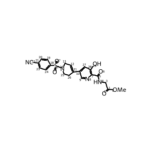 COC(=O)CNC(=O)c1ncc(C2=CCN(S(=O)(=O)c3ccc(C#N)cc3)CC2)cc1O